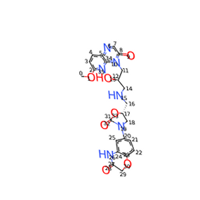 COc1ccc2ncc(=O)n(C[C@H](O)CNC[C@@H]3CN(c4ccc5c(c4)NC(=O)CO5)C(=O)O3)c2n1